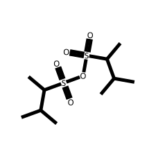 CC(C)C(C)S(=O)(=O)OS(=O)(=O)C(C)C(C)C